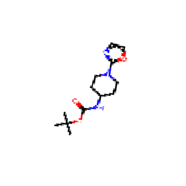 CC(C)(C)OC(=O)NC1CCN(c2ncco2)CC1